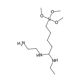 CCNC(CCCC[Si](OC)(OC)OC)NCCN